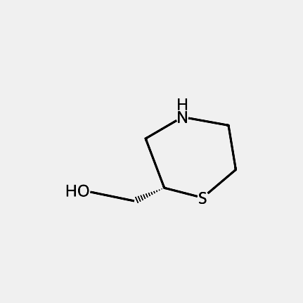 OC[C@@H]1CNCCS1